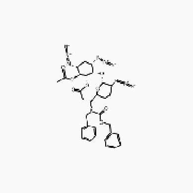 CC(=O)O[C@@H]1[C@@H](OC(C)=O)[C@H](N=[N+]=[N-])C[C@H](N=[N+]=[N-])[C@H]1O[C@H]1O[C@H](CN(Cc2ccccc2)C(=O)OCc2ccccc2)CCC1N=[N+]=[N-]